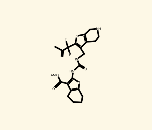 C=C(C)C(F)(F)c1sc2c(c1CNC(=O)Nc1sc3c(c1C(=O)OC)CCCC3)CCNC2